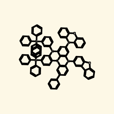 c1ccc(-c2ccc3c(c2)B2c4ccc([Si](c5ccccc5)(c5ccccc5)c5ccccc5)cc4N(c4cccc([Si](c5ccccc5)(c5ccccc5)c5ccccc5)c4)c4cc(N5c6ccccc6Oc6ccccc65)cc(c42)N3c2ccc3oc4ccccc4c3c2)cc1